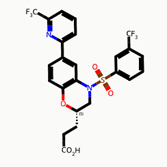 O=C(O)CC[C@H]1CN(S(=O)(=O)c2cccc(C(F)(F)F)c2)c2cc(-c3cccc(C(F)(F)F)n3)ccc2O1